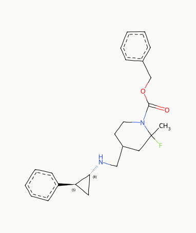 CC1(F)CC(CN[C@@H]2C[C@H]2c2ccccc2)CCN1C(=O)OCc1ccccc1